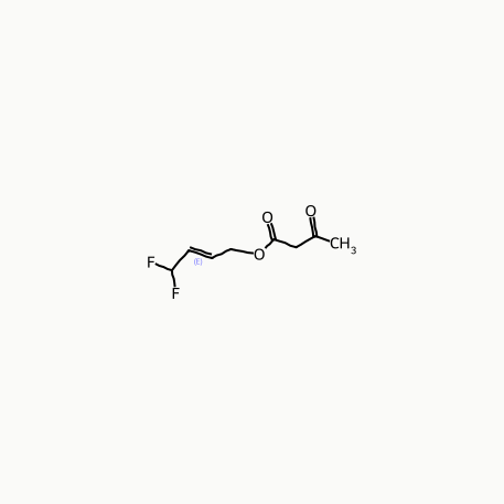 CC(=O)CC(=O)OC/C=C/C(F)F